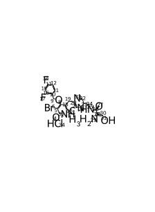 Cc1[nH]c(=O)c(Br)c(OCc2ccc(F)cc2F)c1Cc1cnc(CNC(=O)[C@H](N)CO)cn1.Cl